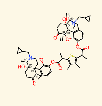 COc1c(OC(=O)C(C)c2sc(C(C)C(=O)Oc3ccc4c5c3O[C@H]3C(=O)CC[C@@]6(O)[C@@H](C4)N(CC4CC4)CC[C@]536)c(C)c2C)ccc(C)c1[C@]12CCN(CC3CC3)[C@H](C)[C@]1(O)CCC(=O)[C@@H]2C